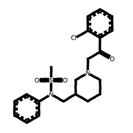 CS(=O)(=O)N(CC1CCCN(CC(=O)c2ccccc2Cl)C1)c1ccccc1